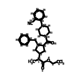 CN(C(=O)OCC(Cl)(Cl)Cl)C1CC(C(=O)N2CCN(c3ccccc3C#N)CC2)N(Cc2ccccc2)C1